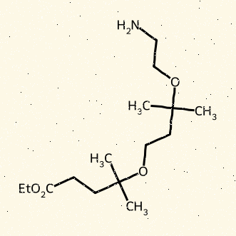 CCOC(=O)CCC(C)(C)OCCC(C)(C)OCCN